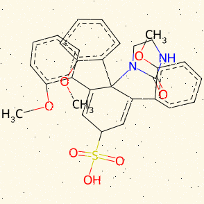 COc1ccccc1C1=CC(S(=O)(=O)O)C=C(c2ccccc2OC)C1(c1ccccc1OC)N1CCNC1=O